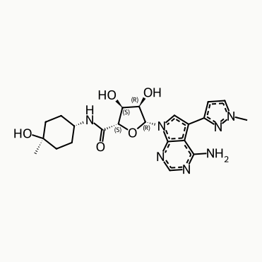 Cn1ccc(-c2cn([C@@H]3O[C@H](C(=O)N[C@H]4CC[C@](C)(O)CC4)[C@@H](O)[C@H]3O)c3ncnc(N)c23)n1